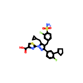 NS(=O)(=O)c1ccc(Cc2c(-c3ccc(F)c(C4=CCCC4)c3)nn(-c3nc(C(=O)O)cs3)c2CC2CC2)cc1F